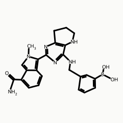 Cn1cc2c(C(N)=O)cccc2c1-c1nc2c(c(NCc3cccc(B(O)O)c3)n1)NCCC2